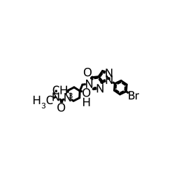 CN(C)C(=O)N1CCC(O)(Cn2cnc3c(cnn3-c3ccc(Br)cc3)c2=O)CC1